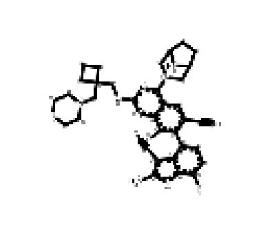 N#Cc1cc2c(N3CC4CCC(C3)N4)nc(OCC3(CN4CCOCC4)CCC3)nc2c(F)c1-c1ccc(F)c2sc(N)c(C#N)c12